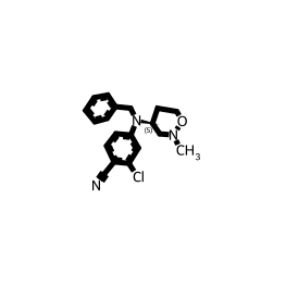 CN1C[C@@H](N(Cc2ccccc2)c2ccc(C#N)c(Cl)c2)CCO1